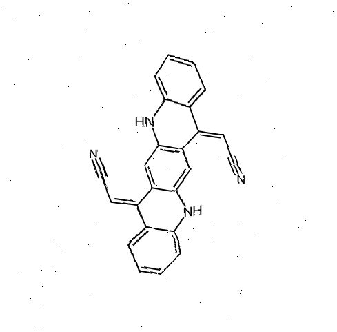 N#CC=C1c2ccccc2Nc2cc3c(cc21)Nc1ccccc1C3=CC#N